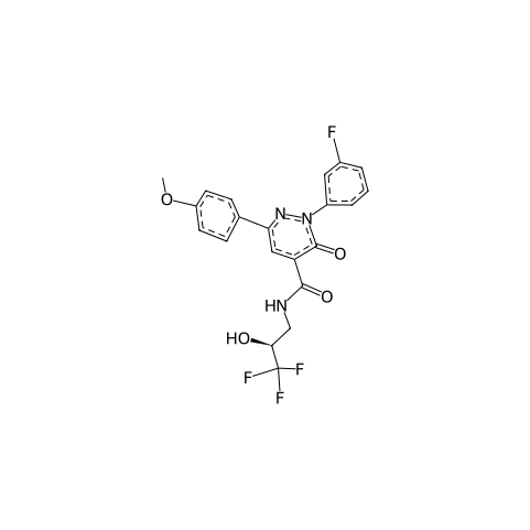 COc1ccc(-c2cc(C(=O)NC[C@H](O)C(F)(F)F)c(=O)n(-c3cccc(F)c3)n2)cc1